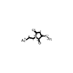 CCSC1CC(=O)N(CCC(C)=O)C1=O